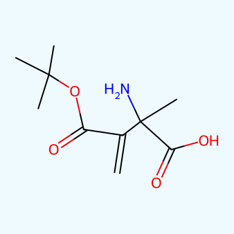 C=C(C(=O)OC(C)(C)C)C(C)(N)C(=O)O